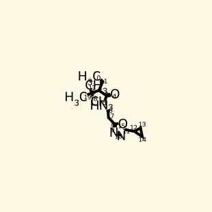 CCC(C(=O)NCCc1nnc(C2CC2)o1)C(C)(C)C